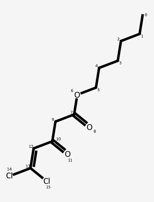 CCCCCCOC(=O)CC(=O)C=C(Cl)Cl